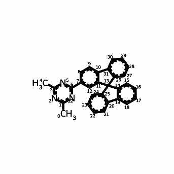 Cc1nc(C)nc(-c2ccc3c(c2)C2(c4ccccc4-c4ccccc42)c2ccccc2-3)n1